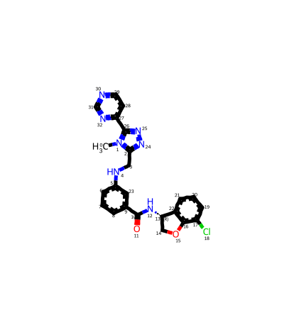 Cn1c(CNc2cccc(C(=O)N[C@H]3COc4c(Cl)cccc43)c2)nnc1-c1ccncn1